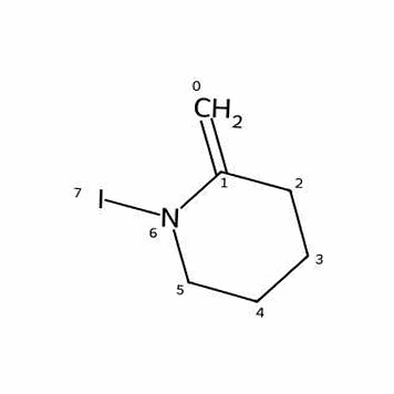 C=C1CCCCN1I